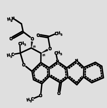 COc1cc2c(c3c1c(=O)c1cc4ccccc4nc1n3C)[C@@H](OC(C)=O)[C@@H](OC(=O)CN)C(C)(C)O2